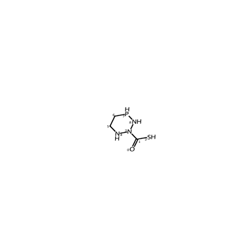 O=C(S)N1NCCPN1